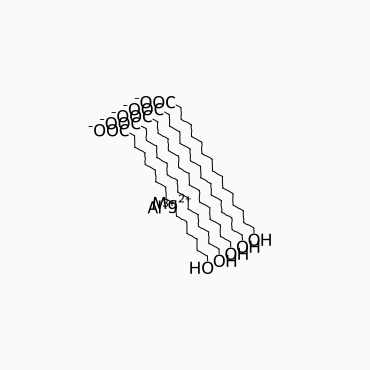 O=C([O-])CCCCCCCCCCCCCCCO.O=C([O-])CCCCCCCCCCCCCCCO.O=C([O-])CCCCCCCCCCCCCCCO.O=C([O-])CCCCCCCCCCCCCCCO.O=C([O-])CCCCCCCCCCCCCCCO.[Al+3].[Mg+2]